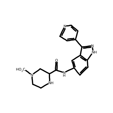 O=C(Nc1ccc2[nH]nc(-c3ccncc3)c2c1)C1CN(C(=O)O)CCN1